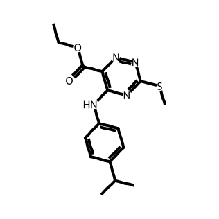 CCOC(=O)c1nnc(SC)nc1Nc1ccc(C(C)C)cc1